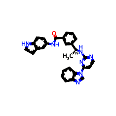 C[C@H](Nc1nccc(-n2cnc3ccccc32)n1)c1cccc(C(=O)Nc2ccc3[nH]ccc3c2)c1